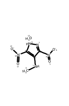 CNc1c([N+](=O)[O-])n[nH]c1[N+](=O)[O-].O